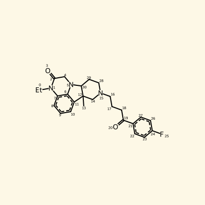 CCN1C(=O)CN2c3c1cccc3C1(C)CN(CCCC(=O)c3ccc(F)cc3)CCC21